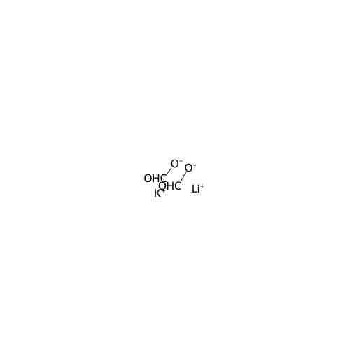 O=C[O-].O=C[O-].[K+].[Li+]